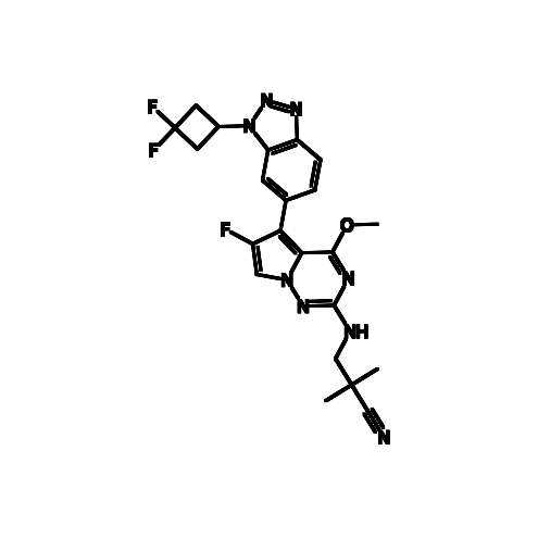 COc1nc(NCC(C)(C)C#N)nn2cc(F)c(-c3ccc4nnn(C5CC(F)(F)C5)c4c3)c12